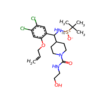 C=CCOc1cc(Cl)c(Cl)cc1C(N[S@+]([O-])C(C)(C)C)C1CCN(C(=O)NCCO)CC1